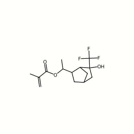 C=C(C)C(=O)OC(C)C1CC2CC1C(O)(C(F)(F)F)C2